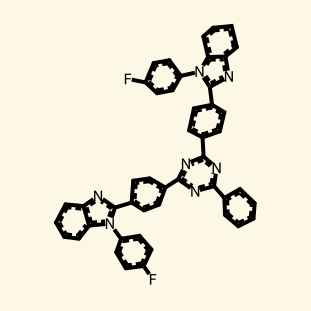 Fc1ccc(-n2c(-c3ccc(-c4nc(-c5ccccc5)nc(-c5ccc(-c6nc7ccccc7n6-c6ccc(F)cc6)cc5)n4)cc3)nc3ccccc32)cc1